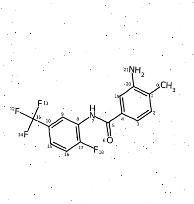 Cc1ccc(C(=O)Nc2cc(C(F)(F)F)ccc2F)cc1N